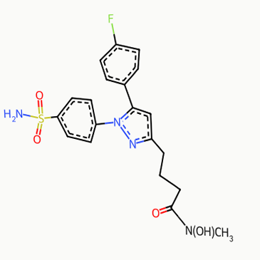 CN(O)C(=O)CCCc1cc(-c2ccc(F)cc2)n(-c2ccc(S(N)(=O)=O)cc2)n1